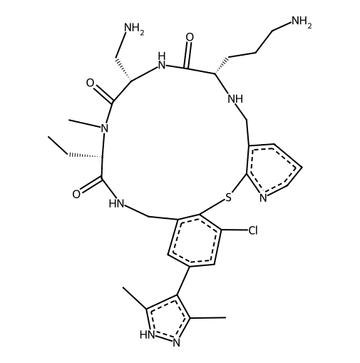 CC[C@H]1C(=O)NCc2cc(-c3c(C)n[nH]c3C)cc(Cl)c2Sc2ncccc2CN[C@@H](CCCN)C(=O)N[C@@H](CN)C(=O)N1C